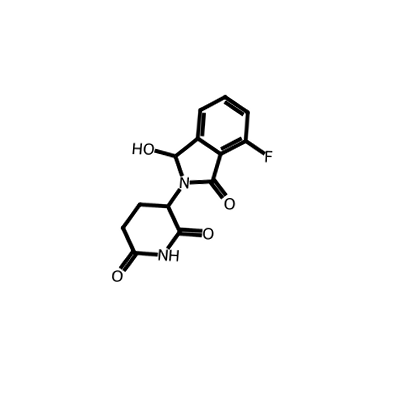 O=C1CCC(N2C(=O)c3c(F)cccc3C2O)C(=O)N1